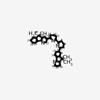 CC1(C)c2cc(-c3cccc(-c4cccc(-c5cnc6c(c5)C(C)(C)c5ccccc5-6)n4)n3)ccc2-c2ncccc21